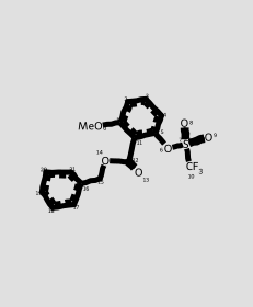 COc1cccc(OS(=O)(=O)C(F)(F)F)c1C(=O)OCc1ccccc1